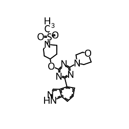 CS(=O)(=O)N1CCC(Oc2nc(-c3cccc4[nH]ncc34)nc(N3CCOCC3)n2)CC1